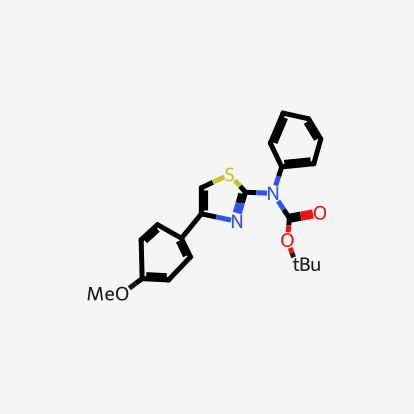 COc1ccc(-c2csc(N(C(=O)OC(C)(C)C)c3ccccc3)n2)cc1